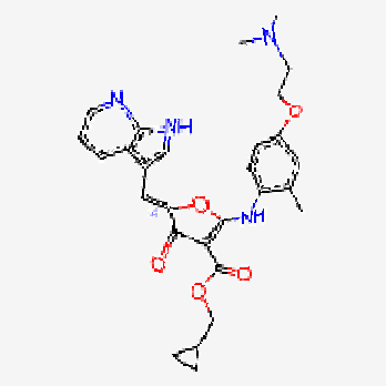 Cc1cc(OCCN(C)C)ccc1NC1=C(C(=O)OCC2CC2)C(=O)/C(=C/c2c[nH]c3ncccc23)O1